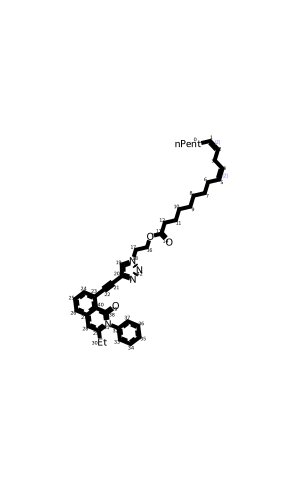 CCCCC/C=C\C/C=C\CCCCCCCC(=O)OCCn1cc(C#Cc2cccc3cc(CC)n(-c4ccccc4)c(=O)c23)nn1